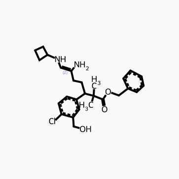 CC(C)(C(=O)OCc1ccccc1)C(CC/C(N)=C/NC1CCC1)c1ccc(Cl)c(CO)c1